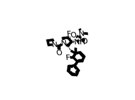 CN(C)S(=O)(=O)N[C@H]1[C@@H](F)CN(C(=O)N2CCC2)[C@H]1CC1(C)C=CC=C(c2ccccc2)C1F